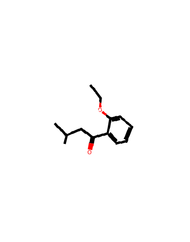 CCOc1ccccc1C(=O)CC(C)C